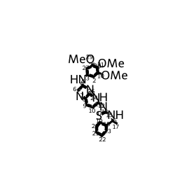 COc1cc(Nc2cnc3ccc(NC(=S)NC(C)c4ccccc4)nc3n2)cc(OC)c1OC